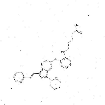 O=C(O)CCCCNc1ccccc1Sc1ccc2c(C=Cc3ccccn3)nn(C3CCCCO3)c2c1